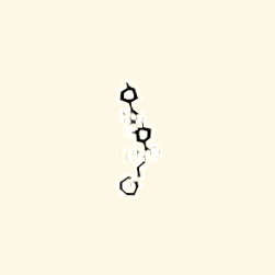 Cc1ccc(-c2cn3c(n2)sc2cc(C(=O)NCCCN4CCCCCC4)ccc23)cc1